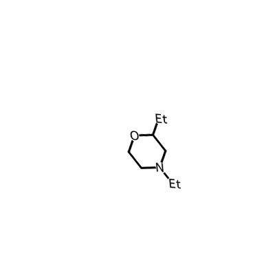 CCC1CN(CC)CCO1